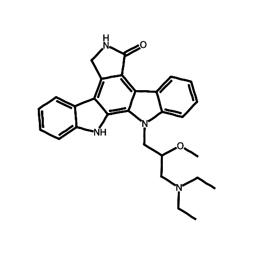 CCN(CC)CC(Cn1c2ccccc2c2c3c(c4c5ccccc5[nH]c4c21)CNC3=O)OC